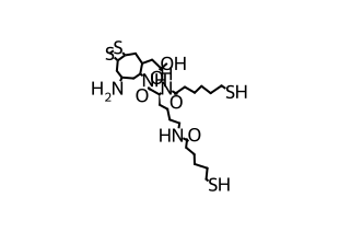 NC1CC(NC(=O)[C@H](CCCCNC(=O)CCCCCS)NC(=O)CCCCCS)C(CC(=O)O)CC2SSC2C1